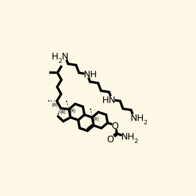 CC(C)CCC[C@@H](C)[C@H]1CCC2C3CC=C4CC(OC(N)=O)CC[C@]4(C)C3CC[C@@]21C.NCCCNCCCCNCCCN